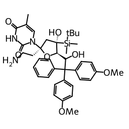 COc1ccc(C(c2ccccc2)(c2ccc(OC)cc2)C(O)[C@H]2O[C@@](CCN)(n3cc(C)c(=O)[nH]c3=O)C[C@@]2(O)[Si](C)(C)C(C)(C)C)cc1